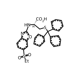 CCS(=O)(=O)c1ccc2nc(N[C@@H](CSC(c3ccccc3)(c3ccccc3)c3ccccc3)C(=O)O)oc2c1